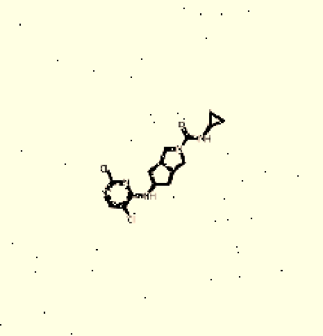 O=C(NC1CC1)N1CC2CC(Nc3nc(Cl)ncc3Cl)CC2C1